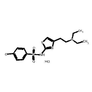 CCN(CC)CCc1csc(NS(=O)(=O)c2ccc(Cl)cc2)n1.Cl